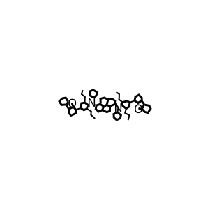 CCCc1cc(-c2cccc3c2oc2ccccc23)cc(CCC)c1N(c1ccccc1)c1ccc2ccc3c(N(c4ccccc4)c4c(CCC)cc(-c5cccc6c5oc5ccccc56)cc4CCC)ccc4ccc1c2c43